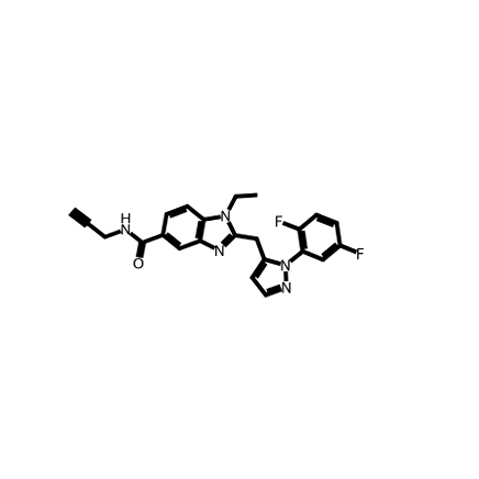 C#CCNC(=O)c1ccc2c(c1)nc(Cc1ccnn1-c1cc(F)ccc1F)n2CC